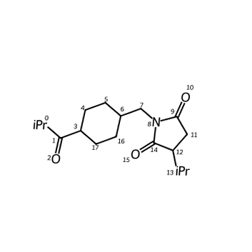 CC(C)C(=O)C1CCC(CN2C(=O)CC(C(C)C)C2=O)CC1